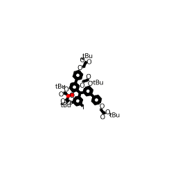 CC(C)(C)OC(=O)COc1ccc(-c2ccc(OCC(=O)OC(C)(C)C)c(C(c3cc(-c4ccc(OCC(=O)OC(C)(C)C)cc4)ccc3OCC(=O)OC(C)(C)C)c3cc(I)cc(I)c3OCC(=O)OC(C)(C)C)c2)cc1